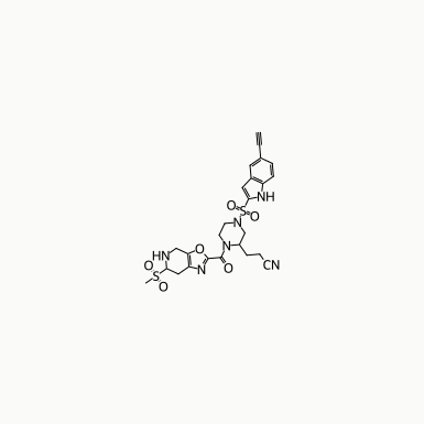 C#Cc1ccc2[nH]c(S(=O)(=O)N3CCN(C(=O)c4nc5c(o4)CNC(S(C)(=O)=O)C5)C(CCC#N)C3)cc2c1